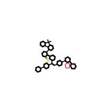 CC1(C)c2ccccc2-c2c(-c3cccc4sc5c(/C(=C\c6ccc(-c7cccc8c7oc7ccccc78)cc6)c6ccc(-c7ccccc7)cc6)cccc5c34)cccc21